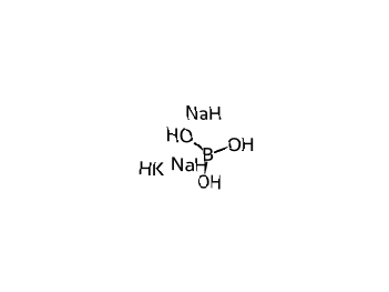 OB(O)O.[KH].[NaH].[NaH]